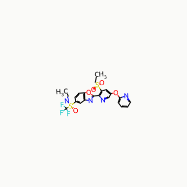 CCN=S(=O)(c1ccc2oc(-c3ncc(Oc4ccccn4)cc3S(=O)(=O)CC)nc2c1)C(F)(F)F